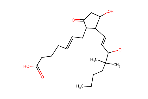 CCCCC(C)(C)C(O)/C=C/C1C(O)CC(=O)C1C/C=C/CCCC(=O)O